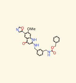 COc1cc2[nH]c(NCc3cccc(CNC(=O)OCc4ccccc4)c3)cc(=O)c2cc1-c1cnco1